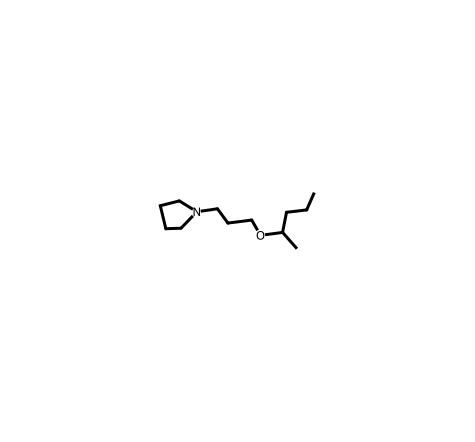 CCCC(C)OCCCN1CCCC1